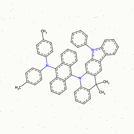 Cc1ccc(N(c2ccc(C)cc2)c2c3ccccc3c(N3c4ccccc4C(C)(C)c4cc5c6ccccc6n(-c6ccccc6)c5cc43)c3ccccc23)cc1